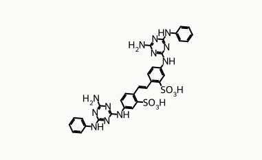 Nc1nc(Nc2ccccc2)nc(Nc2ccc(C=Cc3ccc(Nc4nc(N)nc(Nc5ccccc5)n4)cc3S(=O)(=O)O)c(S(=O)(=O)O)c2)n1